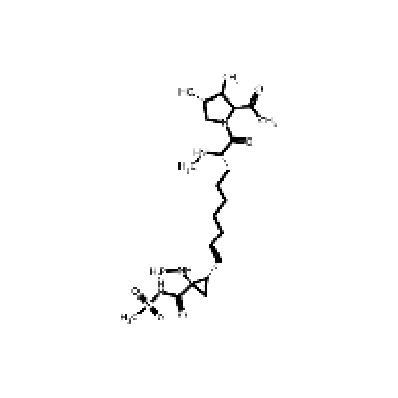 CN[C@@H](CCCCC/C=C/[C@@H]1C[C@]1(NP)C(=O)NS(C)(=O)=O)C(=O)N1C[C@H](O)C(C)[C@H]1C(C)=O